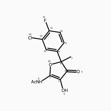 CC(=O)NC1=C(O)C(=O)C(C)(c2ccc(F)c(Cl)c2)O1